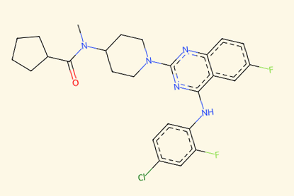 CN(C(=O)C1CCCC1)C1CCN(c2nc(Nc3ccc(Cl)cc3F)c3cc(F)ccc3n2)CC1